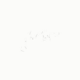 CCN(NC(=O)C1=CN(CC(=O)c2cccs2)C=CC1)C(=O)O